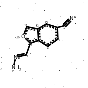 N#Cc1ccc2c(C=NN)occ2c1